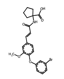 COc1cc(/C=C/C(=O)NC2(C(=O)O)CCCC2)ccc1Oc1cccc(Br)c1